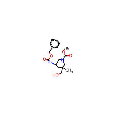 CC1(CO)CC(NC(=O)OCc2ccccc2)CN(C(=O)OC(C)(C)C)C1